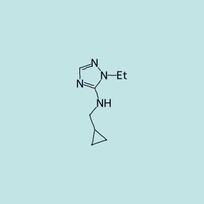 CCn1ncnc1NCC1CC1